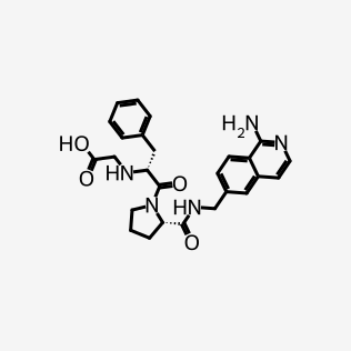 Nc1nccc2cc(CNC(=O)[C@@H]3CCCN3C(=O)[C@@H](Cc3ccccc3)NCC(=O)O)ccc12